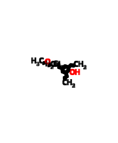 C=CCc1cc(CC=C)c(O)c(CC=C)c1.CCOCC